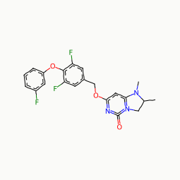 CC1Cn2c(cc(OCc3cc(F)c(Oc4cccc(F)c4)c(F)c3)nc2=O)N1C